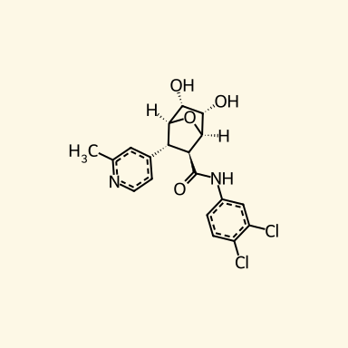 Cc1cc([C@@H]2[C@@H]3O[C@@H]([C@@H](O)[C@H]3O)[C@H]2C(=O)Nc2ccc(Cl)c(Cl)c2)ccn1